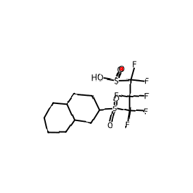 O=S(=O)(O)C(F)(F)C(F)(F)C(F)(F)S(=O)(=O)C1CCC2CCCCC2C1